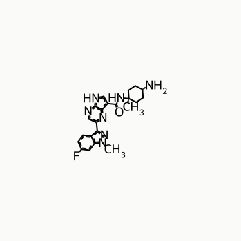 Cn1nc(-c2cnc3[nH]cc(C(=O)N[C@]4(C)CC[C@@H](N)CC4)c3n2)c2ccc(F)cc21